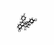 CC(Nc1nc(N2CCN(C)CC2)nc2cnc(Cl)cc12)S(=O)(=O)Nc1ccc(Cl)cc1